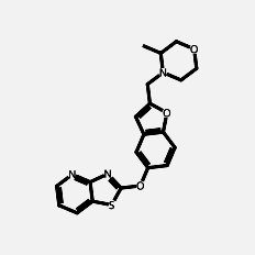 CC1COCCN1Cc1cc2cc(Oc3nc4ncccc4s3)ccc2o1